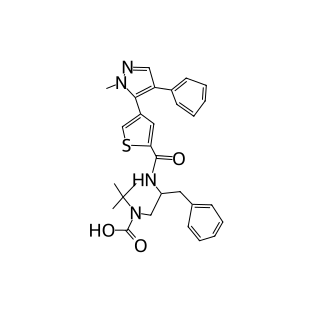 Cn1ncc(-c2ccccc2)c1-c1csc(C(=O)NC(Cc2ccccc2)CN(C(=O)O)C(C)(C)C)c1